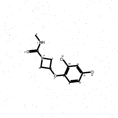 CNC(=O)N1CC(Oc2ccc(Cl)cc2Cl)C1